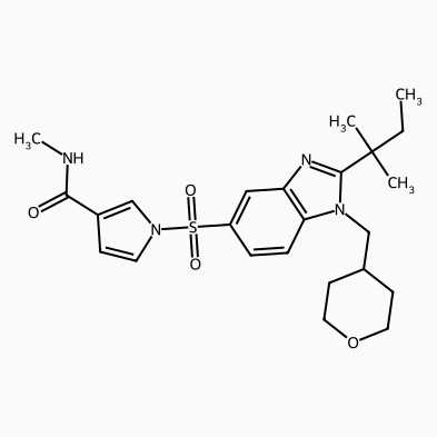 CCC(C)(C)c1nc2cc(S(=O)(=O)n3ccc(C(=O)NC)c3)ccc2n1CC1CCOCC1